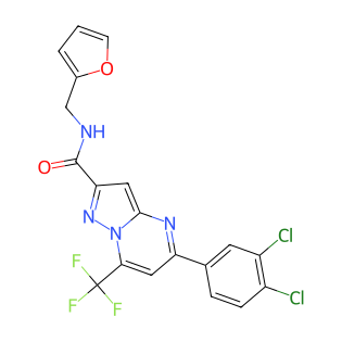 O=C(NCc1ccco1)c1cc2nc(-c3ccc(Cl)c(Cl)c3)cc(C(F)(F)F)n2n1